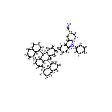 N#Cc1ccc2c(c1)c1cc(-c3ccc4c(-c5cccc6ccccc56)c5ccccc5c(-c5cccc6ccccc56)c4c3)ccc1n2-c1ccccc1